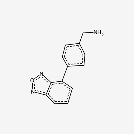 NCc1ccc(-c2cccc3nonc23)cc1